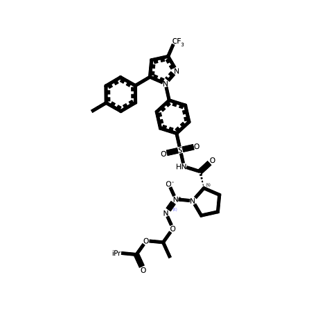 Cc1ccc(-c2cc(C(F)(F)F)nn2-c2ccc(S(=O)(=O)NC(=O)[C@@H]3CCCN3/[N+]([O-])=N\OC(C)OC(=O)C(C)C)cc2)cc1